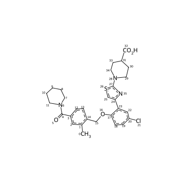 Cc1cc(C(=O)N2CCCCC2)ccc1COc1ccc(Cl)cc1-c1csc(N2CCC(C(=O)O)CC2)n1